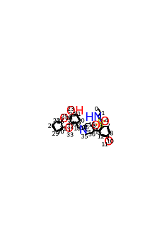 CCNS(=O)(=O)c1ccc(OC)cc1C1CCN(Cc2ccc(O)c(Oc3ccccc3OC)c2)CC1